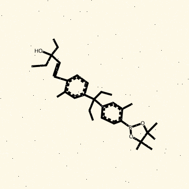 CCC(O)(C=Cc1ccc(C(CC)(CC)c2ccc(B3OC(C)(C)C(C)(C)O3)c(C)c2)cc1C)CC